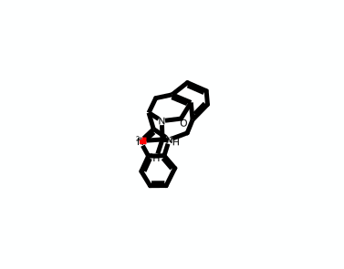 [2H]C([2H])([2H])N1C(=O)c2c3cccc2Cn2c(nc4ccccc42)C1C3